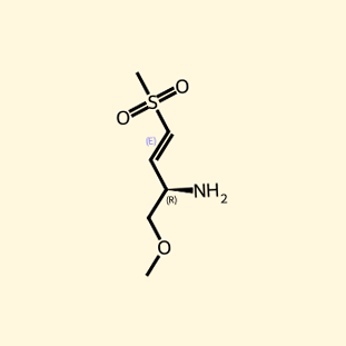 COC[C@H](N)/C=C/S(C)(=O)=O